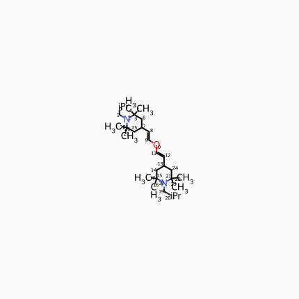 CC(C)CN1C(C)(C)CC(C=COC=CC2CC(C)(C)N(CC(C)C)C(C)(C)C2)CC1(C)C